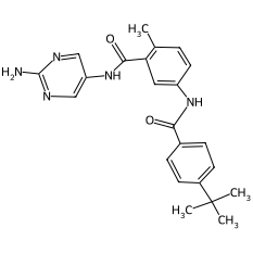 Cc1ccc(NC(=O)c2ccc(C(C)(C)C)cc2)cc1C(=O)Nc1cnc(N)nc1